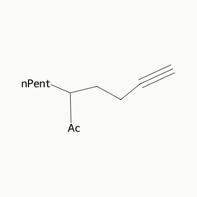 C#CCCC(CCCCC)C(C)=O